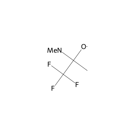 CNC(C)([O])C(F)(F)F